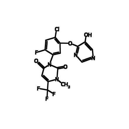 Cn1c(C(F)(F)F)cc(=O)n(-c2cc(Oc3ncncc3O)c(Cl)cc2F)c1=O